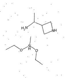 CC(N)C1CNC1.CCO[SiH](C)OCC